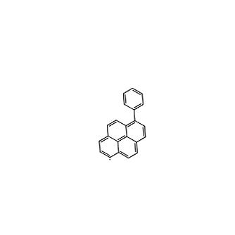 [c]1ccc2ccc3c(-c4ccccc4)ccc4ccc1c2c43